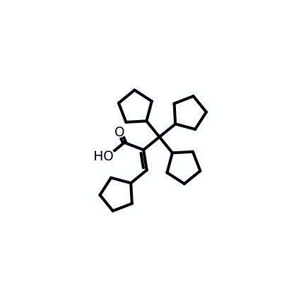 O=C(O)C(=CC1CCCC1)C(C1CCCC1)(C1CCCC1)C1CCCC1